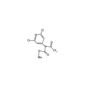 CC(C)(C)OC(=O)N(C(=O)C(F)(F)F)c1cc(Cl)nc(Cl)c1